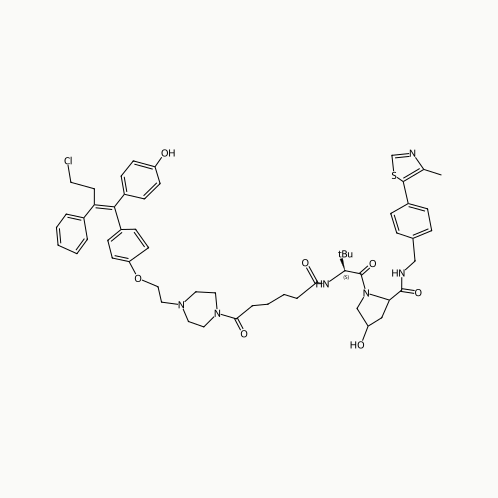 Cc1ncsc1-c1ccc(CNC(=O)C2CC(O)CN2C(=O)[C@@H](NC(=O)CCCCC(=O)N2CCN(CCOc3ccc(C(=C(CCCl)c4ccccc4)c4ccc(O)cc4)cc3)CC2)C(C)(C)C)cc1